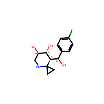 O[C@@H]1[C@@H]([C@H](O)c2ccc(F)cc2)C2(CC2)NC[C@H]1O